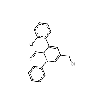 O=CC1C(c2ccccc2Cl)=CC(CO)=CN1c1ccccc1